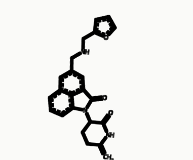 C=C1CCC(N2C(=O)c3cc(CNCc4ccco4)cc4cccc2c34)C(=O)N1